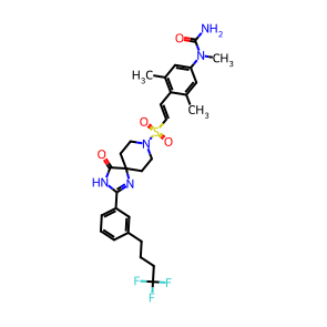 Cc1cc(N(C)C(N)=O)cc(C)c1/C=C/S(=O)(=O)N1CCC2(CC1)N=C(c1cccc(CCCC(F)(F)F)c1)NC2=O